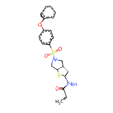 C=CC(=O)NC1CC2CN(S(=O)(=O)c3ccc(Oc4ccccc4)cc3)CC2S1